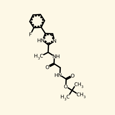 CC(NC(=O)CNC(=O)OC(C)(C)C)c1ncc(-c2ccccc2F)[nH]1